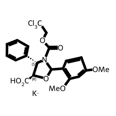 COc1ccc(C2O[C@@H](C(=O)O)[C@H](c3ccccc3)N2C(=O)OCC(Cl)(Cl)Cl)c(OC)c1.[K]